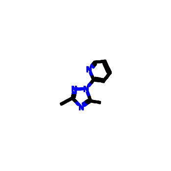 Cc1nc(C)n(-c2ccccn2)n1